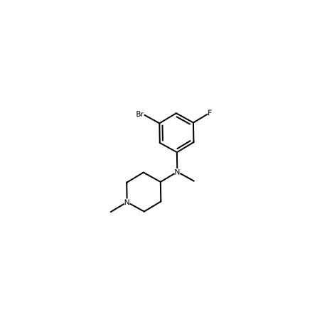 CN1CCC(N(C)c2cc(F)cc(Br)c2)CC1